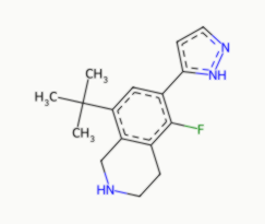 CC(C)(C)c1cc(-c2ccn[nH]2)c(F)c2c1CNCC2